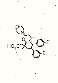 C[C@@H]1COCCN1CC[C@H](C)N1C(=O)[C@@](C)(CC(=O)O)C[C@H](c2cccc(Cl)c2)[C@H]1c1ccc(Cl)cc1